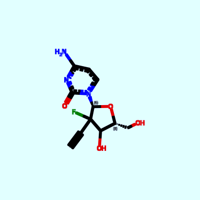 C#CC1(F)C(O)[C@@H](CO)O[C@@H]1n1ccc(N)nc1=O